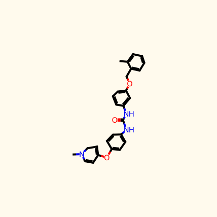 Cc1ccccc1COc1cccc(NC(=O)Nc2ccc(OC3=CCN(C)C=C3)cc2)c1